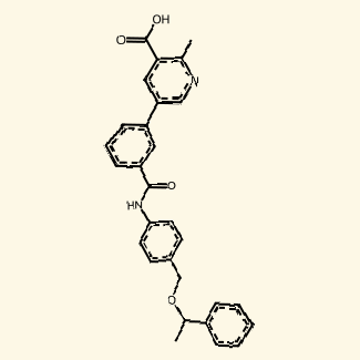 Cc1ncc(-c2cccc(C(=O)Nc3ccc(COC(C)c4ccccc4)cc3)c2)cc1C(=O)O